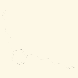 C=COCCCOc1cccc(OCCOC=C)c1